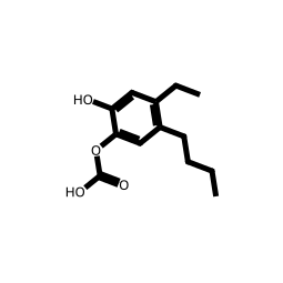 CCCCc1cc(OC(=O)O)c(O)cc1CC